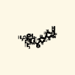 CC(C)(C)N1CCN(C(=O)c2ccc(-c3ccc4[nH]cnc4c3)cc2)CC1